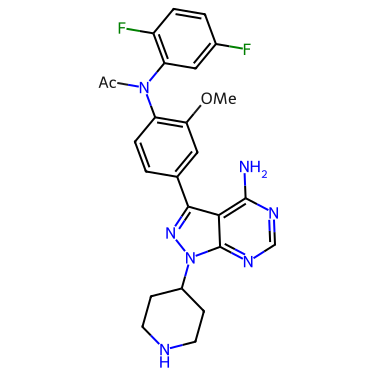 COc1cc(-c2nn(C3CCNCC3)c3ncnc(N)c23)ccc1N(C(C)=O)c1cc(F)ccc1F